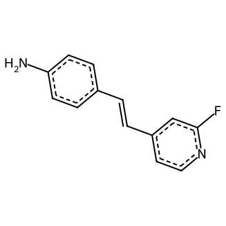 Nc1ccc(/C=C/c2ccnc(F)c2)cc1